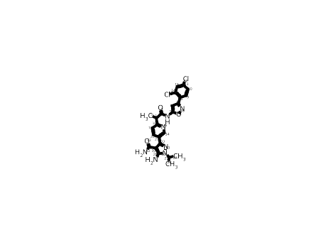 CC(C(=O)Nc1cc(-c2ccc(Cl)cc2Cl)no1)c1ccc(-c2nn(C(C)C)c(N)c2C(N)=O)cn1